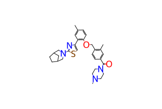 Cc1ccc(OCc2ccc(C(=O)N3CCN(C)CC3)cc2C)c(-c2csc(N3CC4CCC(C4)C3)n2)c1